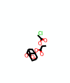 CC(OC(=O)CCl)C(=O)OC12CC3CC(C1)OC(=O)C(C3)C2